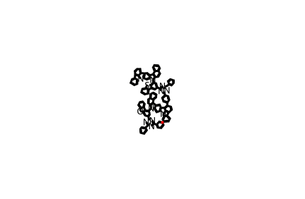 c1ccc(-c2nc(-c3ccccc3)nc(-c3cc(-n4c5cc6c(cc5c5c7ccccc7ccc54)c4c(-c5ccc(-c7nc(-c8ccccc8)nc(-c8cc(-n9c%10cc%11c(cc%10c%10c%12ccccc%12ccc%109)c9cccc%10c%12ccccc%12n%11c%109)c9sc%10ccccc%10c9c8)n7)cc5)ccc5c7ccccc7n6c54)c4c(c3)oc3ccccc34)n2)cc1